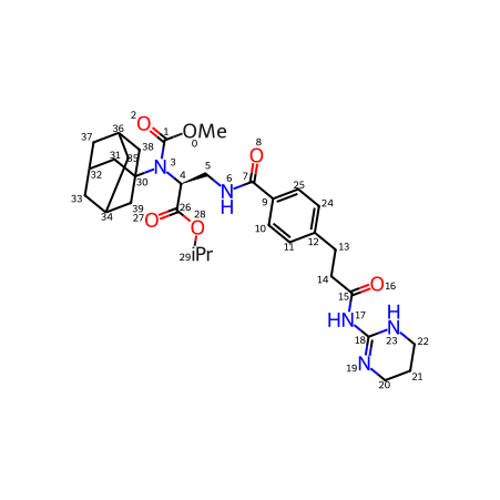 COC(=O)N([C@@H](CNC(=O)c1ccc(CCC(=O)NC2=NCCCN2)cc1)C(=O)OC(C)C)C12CC3CC(CC(C3)C1)C2